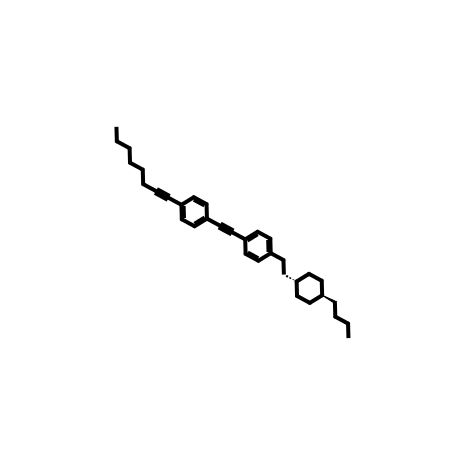 CCCCCCC#Cc1ccc(C#Cc2ccc(CC[C@H]3CC[C@H](CCCC)CC3)cc2)cc1